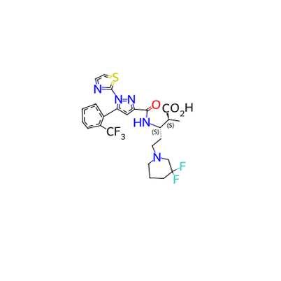 C[C@H](C(=O)O)[C@H](CCN1CCCC(F)(F)C1)NC(=O)c1cc(-c2ccccc2C(F)(F)F)n(-c2nccs2)n1